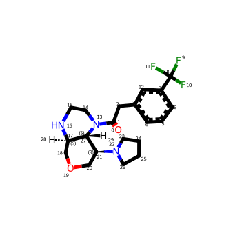 O=C(Cc1cccc(C(F)(F)F)c1)N1CCN[C@@H]2COC[C@H](N3CCCC3)[C@H]21